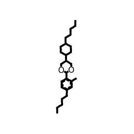 CCCCCc1ccc(C2OCC(C3CCC(CCCCC)CC3)CO2)c(C)c1